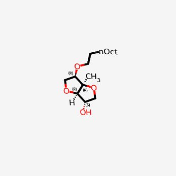 CCCCCCCCCCO[C@@H]1CO[C@@H]2[C@@H](O)CO[C@@]21C